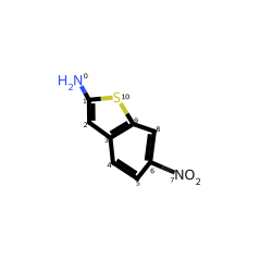 Nc1cc2ccc([N+](=O)[O-])cc2s1